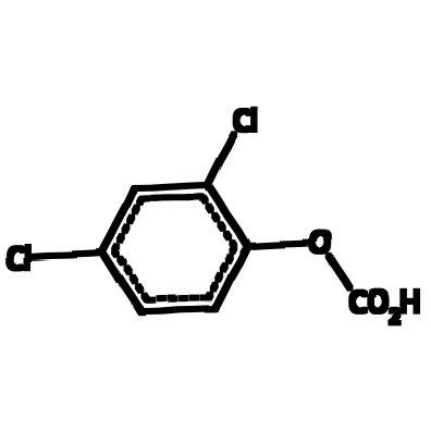 O=C(O)Oc1ccc(Cl)cc1Cl